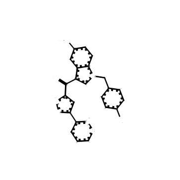 COc1ccc2c(c1)c(C(=O)c1cc(-c3cccnn3)no1)cn2Cc1ccc(Cl)cc1